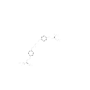 N=C(N)CCc1ccc(COCOCc2ccc(CCC(=N)N)cc2)cc1